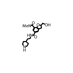 CNC(=O)c1cc(C(=O)NCCC2CCNCC2)cc2c1OC(CO)C2